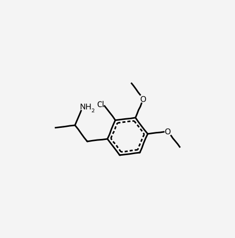 COc1ccc(CC(C)N)c(Cl)c1OC